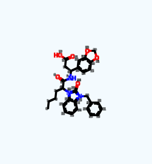 CCCCC(C(=O)N[C@@H](CC(=O)O)c1ccc2c(c1)OCO2)n1c(=O)n(Cc2ccccc2)c2ccccc21